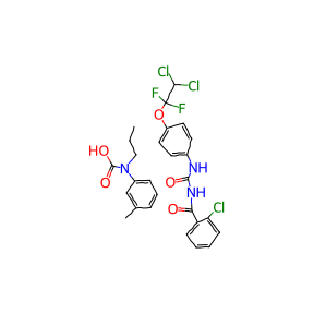 CCCN(C(=O)O)c1cccc(C)c1.O=C(NC(=O)c1ccccc1Cl)Nc1ccc(OC(F)(F)C(Cl)Cl)cc1